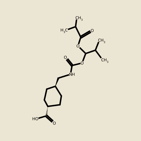 CC(C)C(=O)OC(OC(=O)NC[C@H]1CC[C@H](C(=O)O)CC1)C(C)C